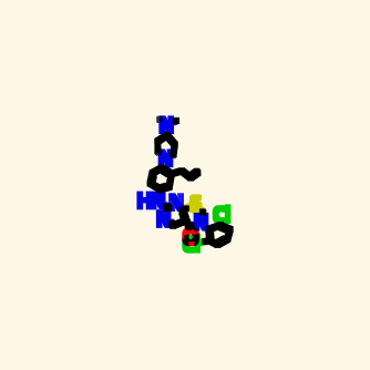 C=CCc1cc(Nc2ncc3c(n2)SCN(c2c(Cl)cccc2Cl)C3=O)ccc1N1CCC(N(C)C)CC1